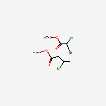 CCCCCCCCOC(=O)C(Br)CC.CCCCCCCCOC(=O)CC(C)Br